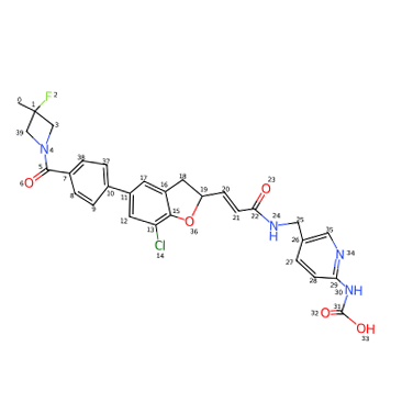 CC1(F)CN(C(=O)c2ccc(-c3cc(Cl)c4c(c3)CC(C=CC(=O)NCc3ccc(NC(=O)O)nc3)O4)cc2)C1